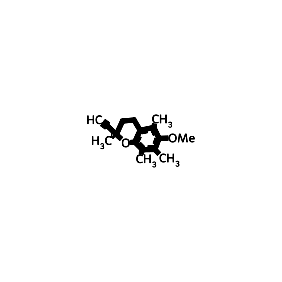 C#C[C@]1(C)CCc2c(C)c(OC)c(C)c(C)c2O1